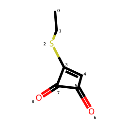 CCSc1cc(=O)c1=O